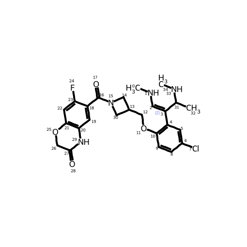 CN/C=C(/c1cc(Cl)ccc1OCC1CN(C(=O)c2cc3c(cc2F)OCC(=O)N3)C1)C(C)NC